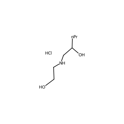 CCCC(O)CNCCO.Cl